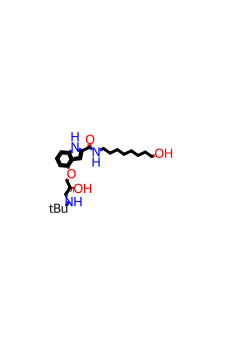 CC(C)(C)NC[C@H](O)COc1cccc2[nH]c(C(=O)NCCCCCCCCO)cc12